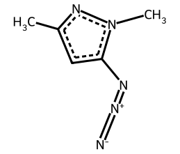 Cc1cc(N=[N+]=[N-])n(C)n1